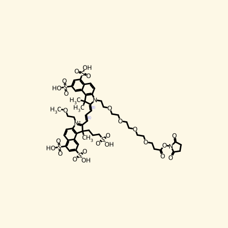 COCC[N+]1=C(/C=C/C=C2/N(CCOCCOCCOCCOCCC(=O)ON3C(=O)CCC3=O)c3ccc4c(S(=O)(=O)O)cc(S(=O)(=O)O)cc4c3C2(C)C)C(C)(CCCS(=O)(=O)O)c2c1ccc1c(S(=O)(=O)O)cc(S(=O)(=O)O)cc21